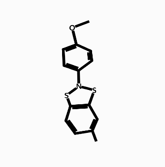 COc1ccc(N2Sc3ccc(C)cc3S2)cc1